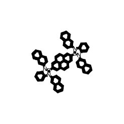 c1ccc2c(c1)N(c1ccc3ccccc3c1)B(c1cc3ccc4cc(B5N(c6ccc7ccccc7c6)c6ccccc6N5c5ccc6ccccc6c5)cc5ccc(c1)c3c45)N2c1ccc2ccccc2c1